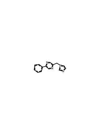 c1ccc(-c2cnc(Cn3ccnc3)cn2)cc1